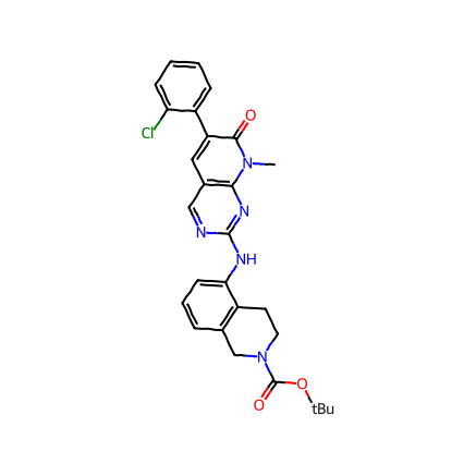 Cn1c(=O)c(-c2ccccc2Cl)cc2cnc(Nc3cccc4c3CCN(C(=O)OC(C)(C)C)C4)nc21